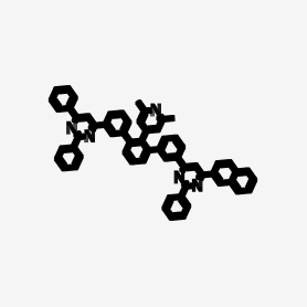 Cc1cc(-c2c(-c3cccc(-c4cc(-c5ccccc5)nc(-c5ccccc5)n4)c3)cccc2-c2cccc(-c3cc(-c4ccc5ccccc5c4)nc(-c4ccccc4)n3)c2)cc(C)n1